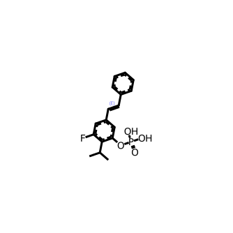 CC(C)c1c(F)cc(/C=C/c2ccccc2)cc1OP(=O)(O)O